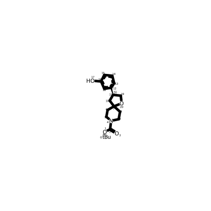 CC(C)(C)OC(=O)N1CCC2(CC1)C[C@@H](c1cccc(O)c1)CO2